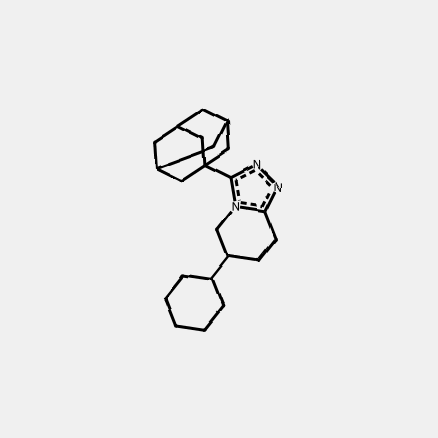 C1CCC(C2CCc3nnc(C45CC6CC(CC(C6)C4)C5)n3C2)CC1